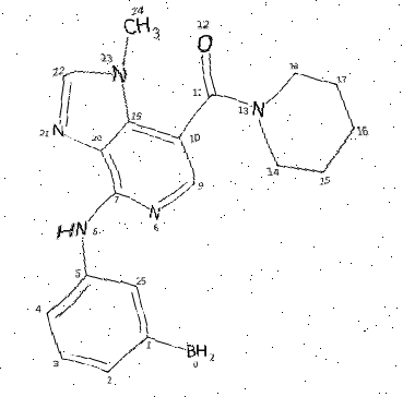 Bc1cccc(Nc2ncc(C(=O)N3CCCCC3)c3c2ncn3C)c1